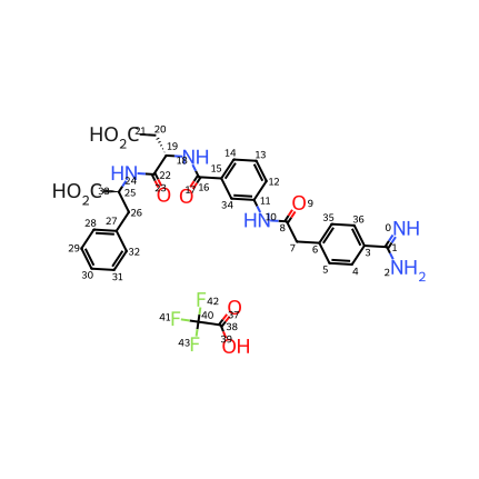 N=C(N)c1ccc(CC(=O)Nc2cccc(C(=O)N[C@@H](CC(=O)O)C(=O)N[C@@H](Cc3ccccc3)C(=O)O)c2)cc1.O=C(O)C(F)(F)F